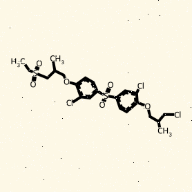 CCS(=O)(=O)CC(C)COc1ccc(S(=O)(=O)c2ccc(OCC(C)CCl)c(Cl)c2)cc1Cl